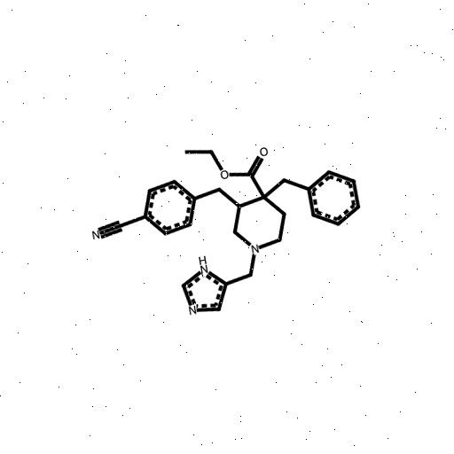 CCOC(=O)C1(Cc2ccccc2)CCN(Cc2cnc[nH]2)CC1Cc1ccc(C#N)cc1